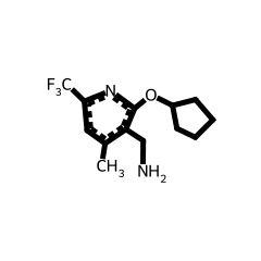 Cc1cc(C(F)(F)F)nc(OC2CCCC2)c1CN